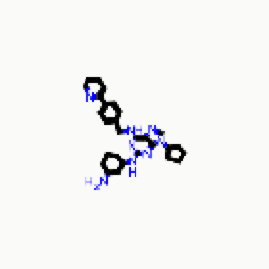 NC1CCCC(Nc2nc(NCc3ccc(-c4ccccn4)cc3)c3ncn(C4CCCC4)c3n2)C1